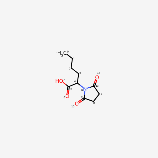 [CH2]CCCC(C(=O)O)N1C(=O)CCC1=O